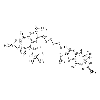 C=C1C[C@H]2C(=O)N(C(=O)OC(C)(C)C)c3cc(OCCCCCOc4cc5c(cc4OC)C(=O)N4CC(=C)C[C@H]4[C@H](O)N5)c(OC)cc3C(=O)N2C1